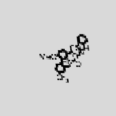 COc1ccc(CC(=O)O)cc1-c1ccc(C(F)(F)F)cc1CNC(=O)OCC1Cc2ccccc2C1